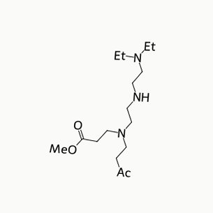 CCN(CC)CCNCCN(CCC(C)=O)CCC(=O)OC